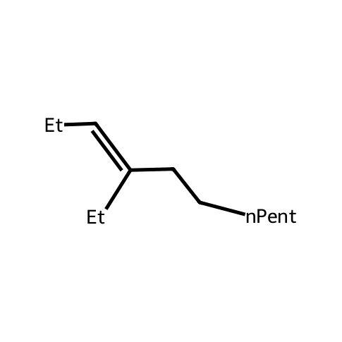 [CH2]C/C=C(\CC)CCCCCC[CH2]